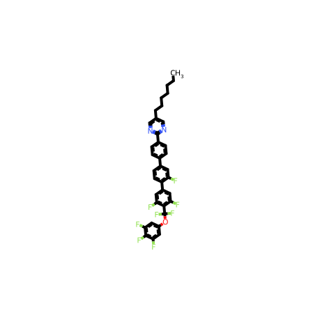 CCCCCCCc1cnc(-c2ccc(-c3ccc(-c4cc(F)c(C(F)(F)Oc5cc(F)c(F)c(F)c5)c(F)c4)c(F)c3)cc2)nc1